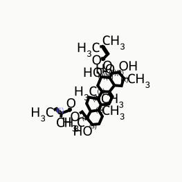 C/C=C(\C)C(=O)OC[C@]1(C)C2CC[C@]3(C)C(CC=C4C5C[C@@H](C)[C@@H](O)[C@H](O)[C@]5(COC(=O)C=C(C)C)[C@H](O)C[C@]43C)[C@@]2(C)CC[C@@H]1O